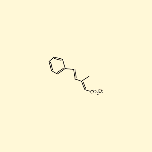 CCOC(=O)/C=C(C)/C=C/c1ccccc1